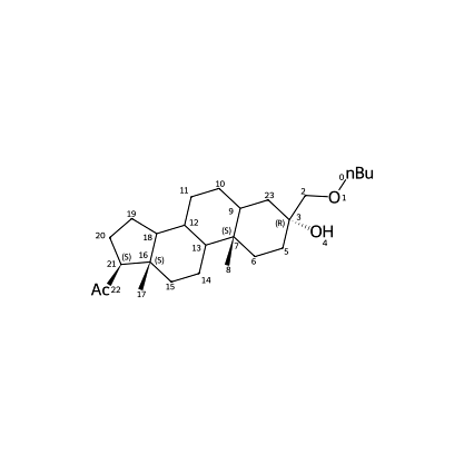 CCCCOC[C@@]1(O)CC[C@@]2(C)C(CCC3C2CC[C@@]2(C)C3CC[C@@H]2C(C)=O)C1